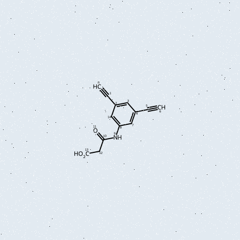 C#Cc1cc(C#C)cc(NC(=O)CC(=O)O)c1